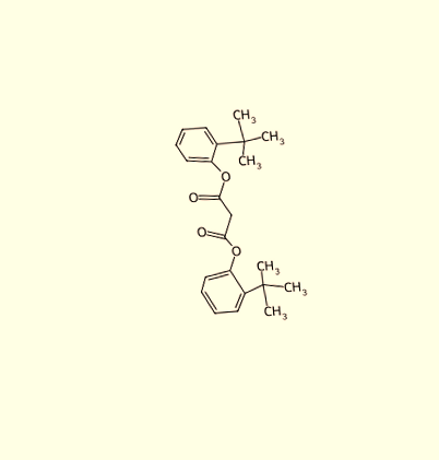 CC(C)(C)c1ccccc1OC(=O)CC(=O)Oc1ccccc1C(C)(C)C